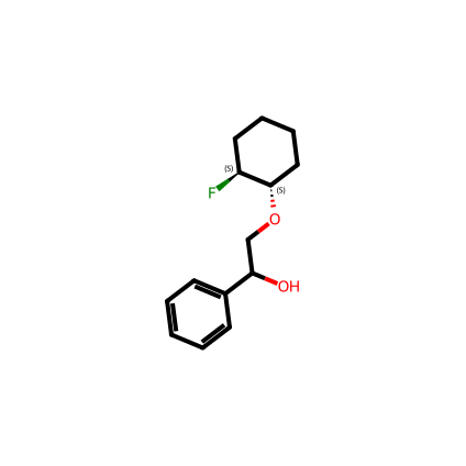 OC(CO[C@H]1CCCC[C@@H]1F)c1ccccc1